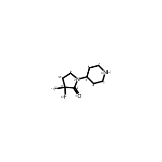 O=C1N(C2CCNCC2)CCC1(F)F